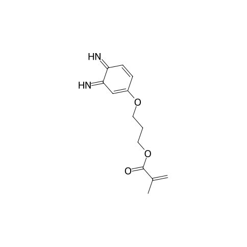 C=C(C)C(=O)OCCCOC1=CC(=N)C(=N)C=C1